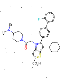 CCN(CC)C1CCN(C(=O)Cn2c(-c3ccc(-c4ccccc4F)cc3)c(C3CCCCC3)c3sc(C(=O)O)cc32)CC1